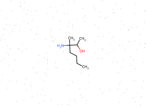 CCCCC(C)(N)C(C)O